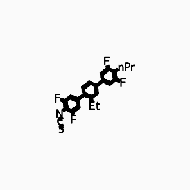 CCCc1c(F)cc(-c2ccc(-c3cc(F)c(N=C=S)c(F)c3)c(CC)c2)cc1F